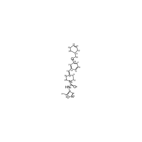 Cc1oncc1NC(=O)N1CCC(=Cc2cccc(OCC3CC=CCC3)c2)CC1